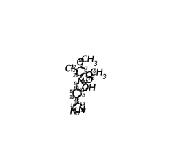 COc1cc(OC)c(N(Cc2ccc(-c3cncnc3)cc2)C(=O)O)cc1Cl